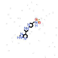 CS(=O)(=O)NCc1ccc(-n2cc(-c3ccnc4[nH]cnc34)cn2)nc1